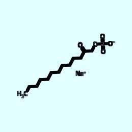 CCCCCCCCCCCC(=O)COS(=O)(=O)[O-].[Na+]